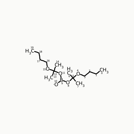 CCCCOC(C)(C)OB([O])OC(C)(C)OCCCC